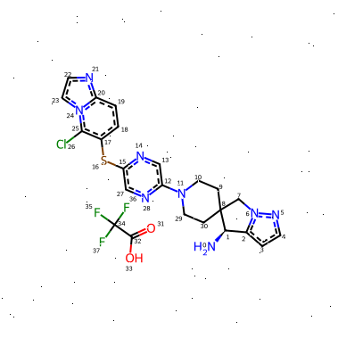 N[C@@H]1c2ccnn2CC12CCN(c1cnc(Sc3ccc4nccn4c3Cl)cn1)CC2.O=C(O)C(F)(F)F